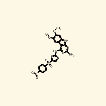 COc1cc2[nH]c3nc(N)nc(Nc4ncc(S(=O)(=O)c5ccc([N+](=O)[O-])cc5)s4)c3c2cc1OC